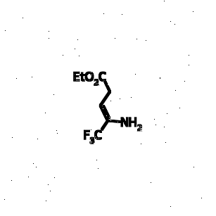 CCOC(=O)CC=C(N)C(F)(F)F